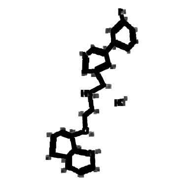 Cl.Fc1cccc(-c2cncc(CNCCOc3cccc4cccnc34)c2)c1